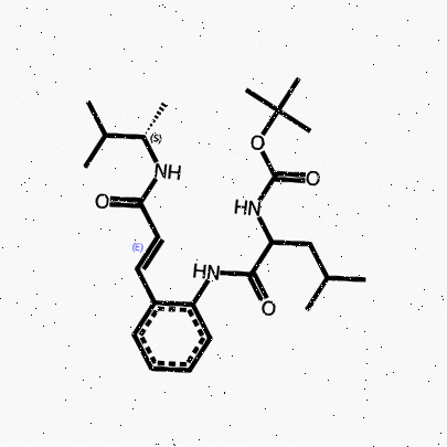 CC(C)CC(NC(=O)OC(C)(C)C)C(=O)Nc1ccccc1/C=C/C(=O)N[C@@H](C)C(C)C